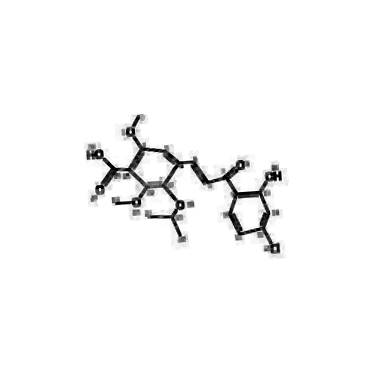 COc1cc(/C=C/C(=O)c2ccc(Cl)cc2O)c(OC(C)C)c(OC)c1C(=O)O